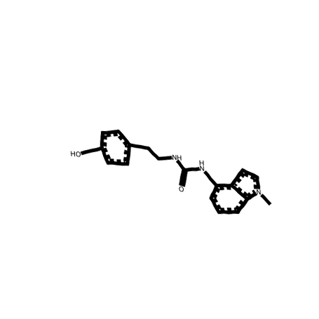 Cn1ccc2c(NC(=O)NCCc3ccc(O)cc3)cccc21